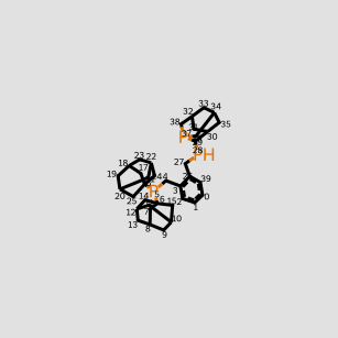 c1ccc(CP(C23CC4CC(CC(C4)C2)C3)C23CC4CC(CC(C4)C2)C3)c(CPC2C3CC4CC(C3)CP2C4)c1